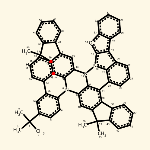 CC(C)(C)c1ccc(N2c3cc4c(cc3B3c5c2cc2c(c5-c5cccc6c7c8ccccc8oc7n3c56)-c3ccccc3C2(C)C)-c2ccccc2C4(C)C)c(-c2ccccc2)c1